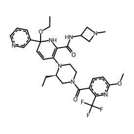 CCOC1(c2cccnc2)C=CC(N2CCN(C(=O)c3ccc(OC)nc3C(F)(F)F)C[C@H]2CC)=C(C(=O)NC2CN(C)C2)N1